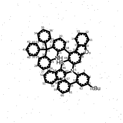 CC(C)(C)c1ccc(N2c3cc4oc5ccccc5c4c(-c4cccc5c4Nc4ccccc4C5(c4ccccc4)c4ccccc4)c3Bc3c2oc2ccccc32)c(-c2ccccc2)c1